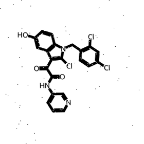 O=C(Nc1cccnc1)C(=O)c1c(Cl)n(Cc2ccc(Cl)cc2Cl)c2ccc(O)cc12